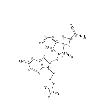 CS(=O)(=O)CCCn1c(CN2C(=O)C3(CN(C(N)=O)C3)c3ccccc32)cc2cc(Cl)ccc21